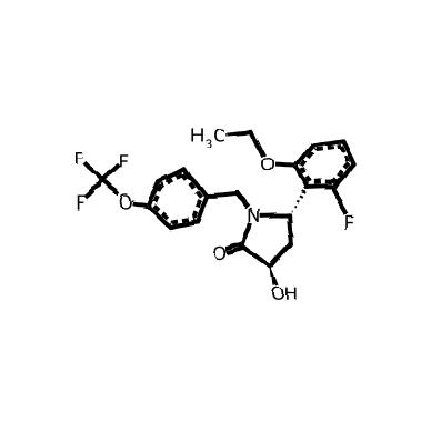 CCOc1cccc(F)c1[C@@H]1C[C@@H](O)C(=O)N1Cc1ccc(OC(F)(F)F)cc1